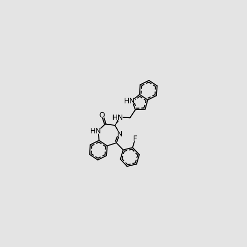 O=C1Nc2ccccc2C(c2ccccc2F)=N[C@@H]1NCc1cc2ccccc2[nH]1